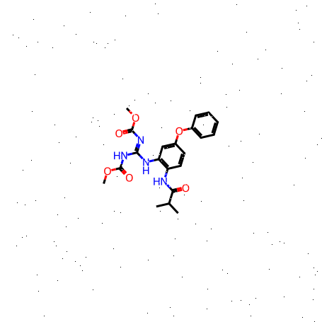 COC(=O)N=C(NC(=O)OC)Nc1cc(Oc2ccccc2)ccc1NC(=O)C(C)C